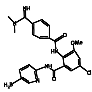 Bc1ccc(NC(=O)c2cc(Cl)cc(OC)c2NC(=O)c2ccc(C(=N)N(C)C)cc2)nc1